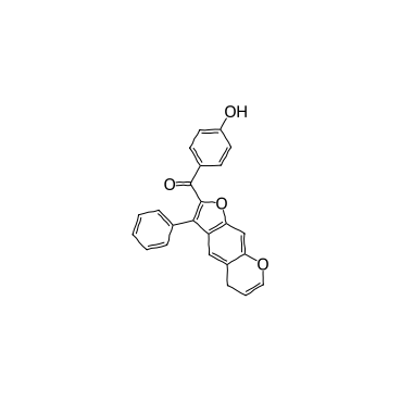 O=C(c1ccc(O)cc1)c1oc2cc3c(cc2c1-c1ccccc1)CC=CO3